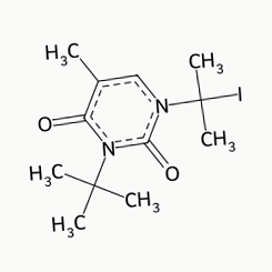 Cc1cn(C(C)(C)I)c(=O)n(C(C)(C)C)c1=O